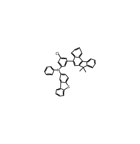 CC1(C)c2ccccc2-c2c1cc(-c1cc(Cl)cc(N(c3ccccc3)c3ccc4sc5ccccc5c4c3)c1)c1ccccc21